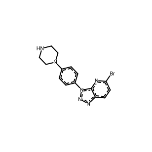 Brc1ccc2nnn(-c3ccc(N4CCNCC4)cc3)c2n1